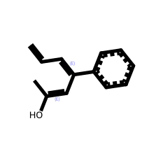 C=C/C=C(\C=C(/C)O)c1ccccc1